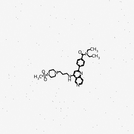 CCN(CC)C(=O)c1ccc(-c2cc(NCCCN3CCN(S(C)(=O)=O)CC3)c3cnccc3n2)cc1